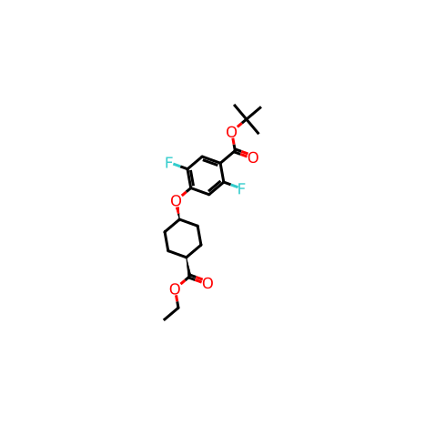 CCOC(=O)[C@H]1CC[C@@H](Oc2cc(F)c(C(=O)OC(C)(C)C)cc2F)CC1